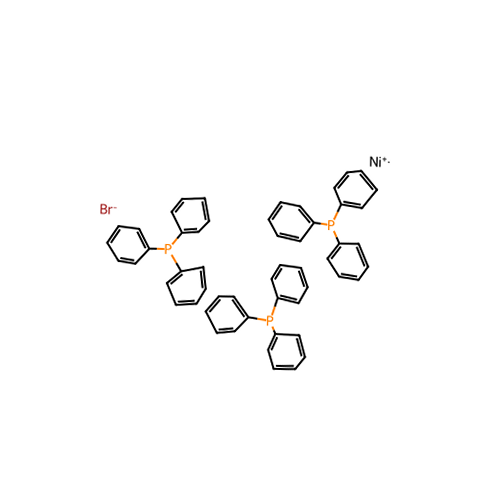 [Br-].[Ni+].c1ccc(P(c2ccccc2)c2ccccc2)cc1.c1ccc(P(c2ccccc2)c2ccccc2)cc1.c1ccc(P(c2ccccc2)c2ccccc2)cc1